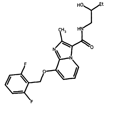 CCC(O)CNC(=O)c1c(C)nc2c(OCc3c(F)cccc3F)cccn12